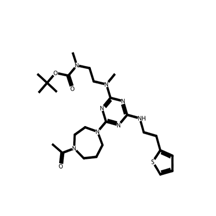 CC(=O)N1CCCN(c2nc(NCCc3cccs3)nc(N(C)CCN(C)C(=O)OC(C)(C)C)n2)CC1